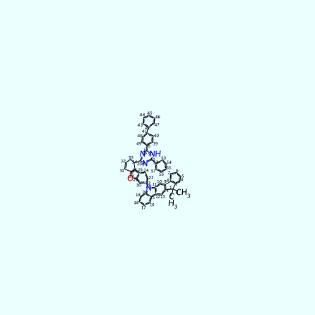 CC1(C)c2ccccc2-c2cc3c(cc21)c1ccccc1n3-c1ccc2c3c(oc2c1)C=CCC3C1=NC(c2ccc(-c3ccccc3)cc2)NC(c2ccccc2)=N1